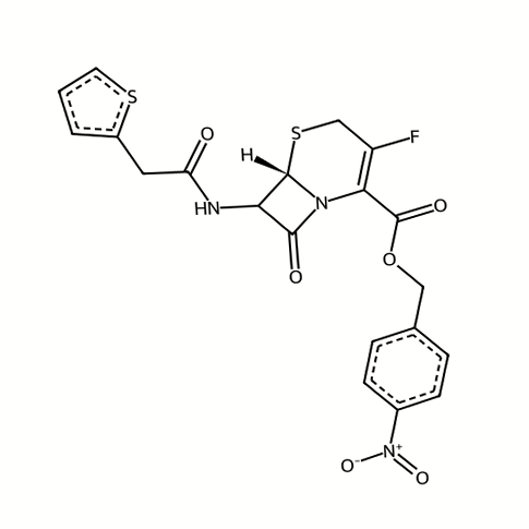 O=C(Cc1cccs1)NC1C(=O)N2C(C(=O)OCc3ccc([N+](=O)[O-])cc3)=C(F)CS[C@@H]12